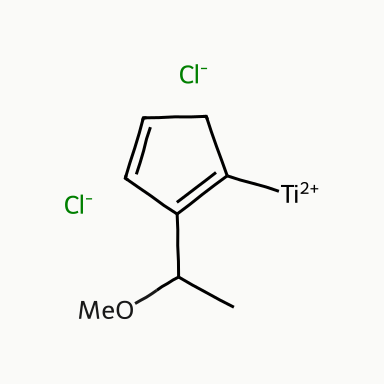 COC(C)C1=[C]([Ti+2])CC=C1.[Cl-].[Cl-]